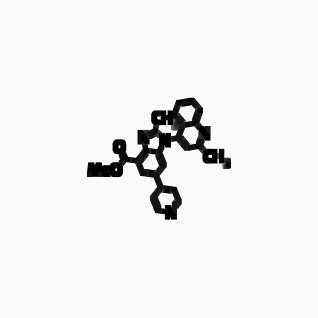 COC(=O)c1cc(-c2ccncc2)cc2c1nc(C)n2-c1cc(C)nc2ccccc12